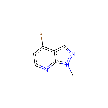 Cn1ncc2c(Br)ccnc21